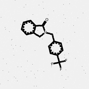 O=C1c2ccccc2CN1Cc1ccc(C(F)(F)F)cc1